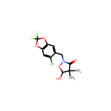 CC1(C)C(=O)N(Cc2cc3c(cc2Cl)OC(F)(F)O3)OC1O